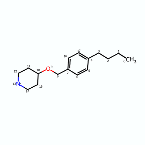 CCCCc1ccc(COC2CC[N]CC2)cc1